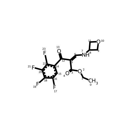 CCOC(=O)C(=CNC1COC1)C(=O)c1cc(F)c(F)c(F)c1F